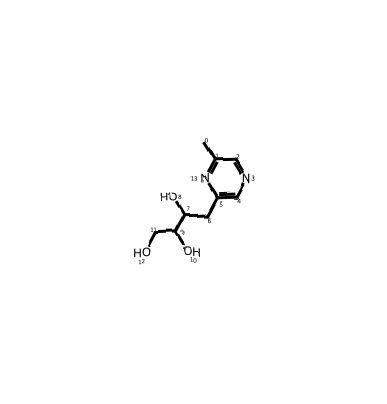 Cc1cncc(CC(O)C(O)CO)n1